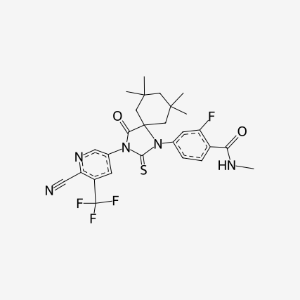 CNC(=O)c1ccc(N2C(=S)N(c3cnc(C#N)c(C(F)(F)F)c3)C(=O)C23CC(C)(C)CC(C)(C)C3)cc1F